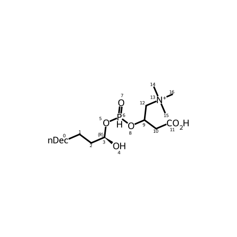 CCCCCCCCCCCC[C@H](O)O[PH](=O)OC(CC(=O)O)C[N+](C)(C)C